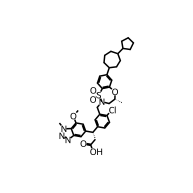 COc1cc([C@@H](CC(=O)O)c2ccc(Cl)c(CN3C[C@@H](C)Oc4cc(C5CCCC(C6CCCC6)CC5)ccc4S3(=O)=O)c2)cc2nnn(C)c12